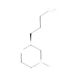 CNCCC[C@H]1CN(C(C)=O)CCO1